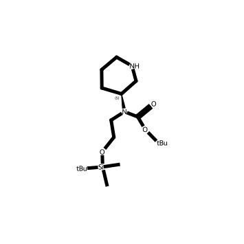 CC(C)(C)OC(=O)N(CCO[Si](C)(C)C(C)(C)C)[C@H]1CCCNC1